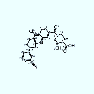 C[C@@H]1CN(C(=O)c2ccc3c(Cl)c4c(nc3c2)CC(c2ccnc(C#N)c2)CC4)CCN1C(=O)O